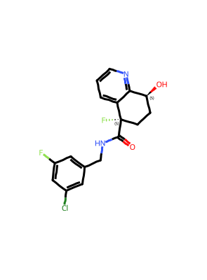 O=C(NCc1cc(F)cc(Cl)c1)[C@]1(F)CC[C@H](O)c2ncccc21